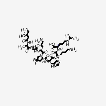 CC(NC(=O)C[C@@H](O)CN)C(=O)NCC(=O)N[C@H](CCCN)C(=O)N1CC(F)(F)C[C@H]1C(=O)N[C@@H](Cc1cnc[nH]1)C(=O)N[C@@H](CCCCN)C(=O)N/C(=C\CCNC(=N)N)C(=O)O